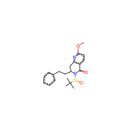 COc1ccc2c(n1)CC(CCc1ccccc1)N([S+]([O-])C(C)(C)C)C2=O